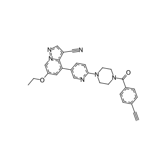 C#Cc1ccc(C(=O)N2CCN(c3ccc(-c4cc(OCC)cn5ncc(C#N)c45)cn3)CC2)cc1